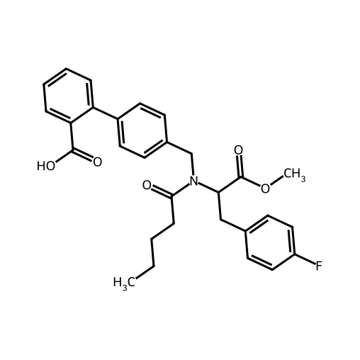 CCCCC(=O)N(Cc1ccc(-c2ccccc2C(=O)O)cc1)C(Cc1ccc(F)cc1)C(=O)OC